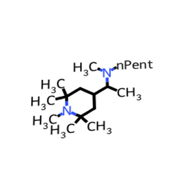 CCCCCN(C)C(C)C1CC(C)(C)N(C)C(C)(C)C1